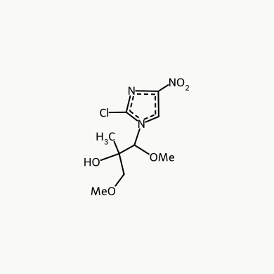 COCC(C)(O)C(OC)n1cc([N+](=O)[O-])nc1Cl